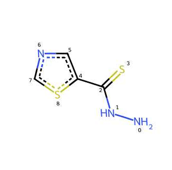 NNC(=S)c1cncs1